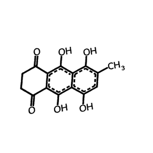 Cc1cc(O)c2c(O)c3c(c(O)c2c1O)C(=O)CCC3=O